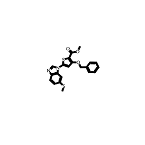 COC(=O)c1sc(-n2cnc3ccc(SC)cc32)cc1OCc1ccccc1